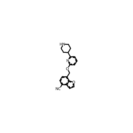 N#Cc1ccc(COc2cccc(C3CCNCC3)n2)c2occc12